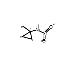 CC1(N[SH](=O)=O)CC1